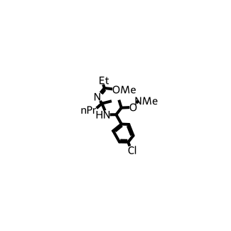 CCCC(C)(N=C(CC)OC)NC(c1ccc(Cl)cc1)C(C)ONC